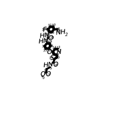 COC(=O)CCNC(=O)c1cc2nccc(Oc3ccc(NC(=O)Nc4cc(CN)ccc4F)cc3)c2s1